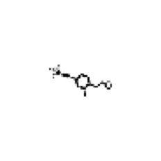 Cc1cc(C#C[Si](C)(C)C)ccc1CC=O